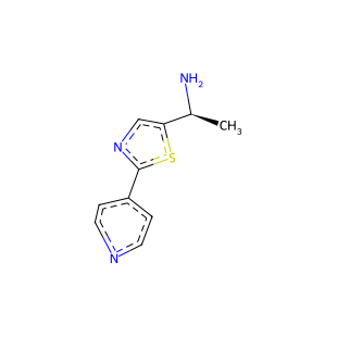 C[C@H](N)c1cnc(-c2ccncc2)s1